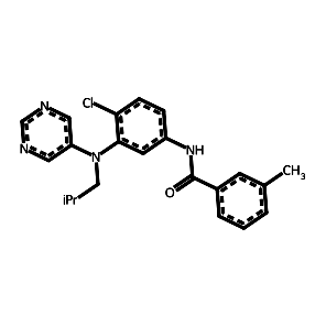 Cc1cccc(C(=O)Nc2ccc(Cl)c(N(CC(C)C)c3cncnc3)c2)c1